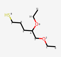 CCO[CH]C(CCCS)OCC